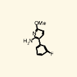 COc1ccc(-c2cccc(F)c2)c(N)n1